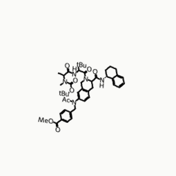 COC(=O)c1ccc(CN(C(C)=O)c2ccc3c(c2)CN(C(=O)C(NC(=O)C(C)N(C)C(=O)OC(C)(C)C)C(C)(C)C)C(C(=O)N[C@@H]2CCCc4ccccc42)C3)cc1